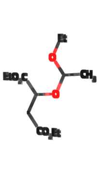 CCOC(=O)CC(OC(C)OCC)C(=O)OCC